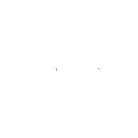 Cc1nc2cc(F)c(-c3ccc(C4C[PH](=O)CCO4)nc3)cc2c(Cl)c1Cl